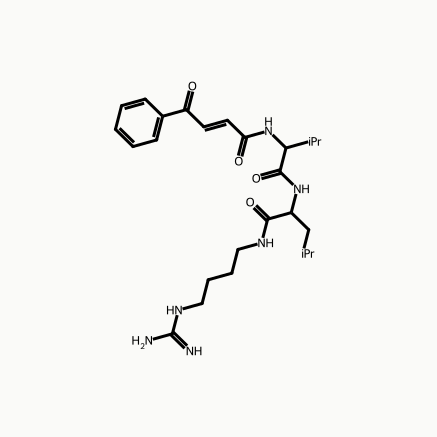 CC(C)CC(NC(=O)C(NC(=O)/C=C/C(=O)c1ccccc1)C(C)C)C(=O)NCCCCNC(=N)N